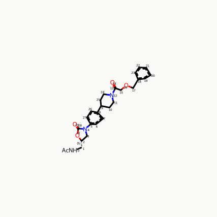 CC(=O)NC[C@H]1CN(c2ccc(C3CCN(C(=O)COCc4ccccc4)CC3)cc2)C(=O)O1